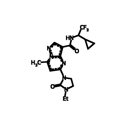 CCN1CCN(c2cc(C)n3ncc(C(=O)NC(C4CC4)C(F)(F)F)c3n2)C1=O